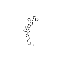 C/C=C\C=C/c1cccc(-c2ccc3c4c(cccc24)Oc2cc4c(cc2-3)sc2cc(-c3cccc5ccccc35)c3ccccc3c24)c1